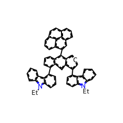 CCn1c2ccccc2c2c(-c3cccc4c(-c5cc6cccc7ccc8cccc5c8c76)c5cccc(-c6cccc7c6c6ccccc6n7CC)c5cc34)cccc21